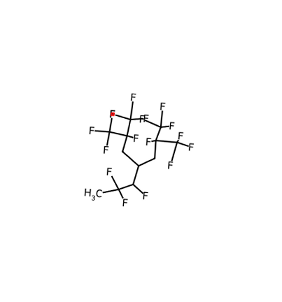 CC(F)(F)C(F)C(CC(F)(C(F)(F)F)C(F)(F)F)CC(F)(C(F)(F)F)C(F)(F)F